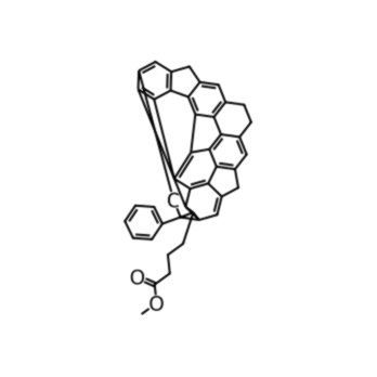 COC(=O)CCCC1(c2ccccc2)C23C=C4Cc5cc6c7c8c5c4c4c5c9c(c(cc%10c9c9c(cc(c-7c9c85)CC6)C%10)CC2)C431